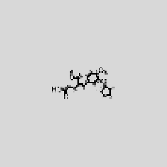 COC(=O)C(=Cc1ccc(OC)c(OC2CCCC2)c1)CCC(=O)O